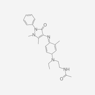 CCN(CCNC(C)=O)C1C=CC(=Nc2c(C)n(C)n(-c3ccccc3)c2=O)C(C)=C1